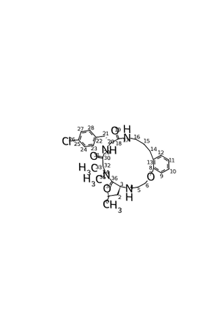 CCC[C@@H]1NCCOc2ccccc2CCCNC(=O)[C@@H](Cc2ccc(Cl)cc2)NC(=O)[C@@H](C)N(C)C1=O